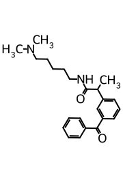 CC(C(=O)NCCCCCN(C)C)c1cccc(C(=O)c2ccccc2)c1